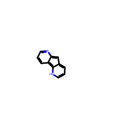 c1c[nH]c2c3cccnc3cc-2c1